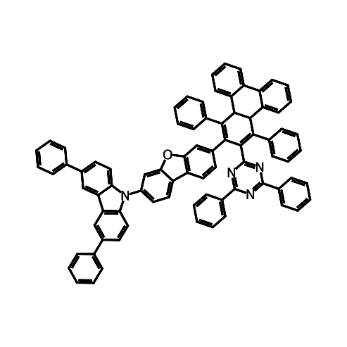 c1ccc(C2=C(c3ccc4c(c3)oc3cc(-n5c6ccc(-c7ccccc7)cc6c6cc(-c7ccccc7)ccc65)ccc34)C(c3nc(-c4ccccc4)nc(-c4ccccc4)n3)=C(c3ccccc3)C3c4ccccc4-c4ccccc4C23)cc1